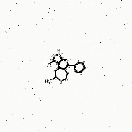 CC1CCCc2c(-c3ccccc3)nc3[nH]nc(N)c3c2C1